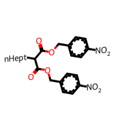 CCCCCCCC(C(=O)OCc1ccc([N+](=O)[O-])cc1)C(=O)OCc1ccc([N+](=O)[O-])cc1